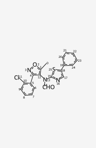 Cc1onc(-c2ccccc2Cl)c1N(C=O)c1ncc(-c2ccccc2)s1